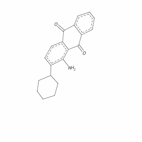 Nc1c(C2CCCCC2)ccc2c1C(=O)c1ccccc1C2=O